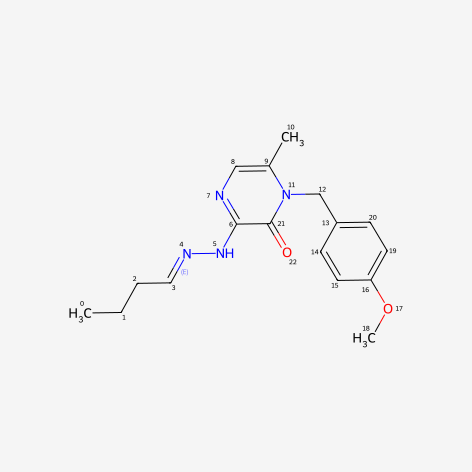 CCC/C=N/Nc1ncc(C)n(Cc2ccc(OC)cc2)c1=O